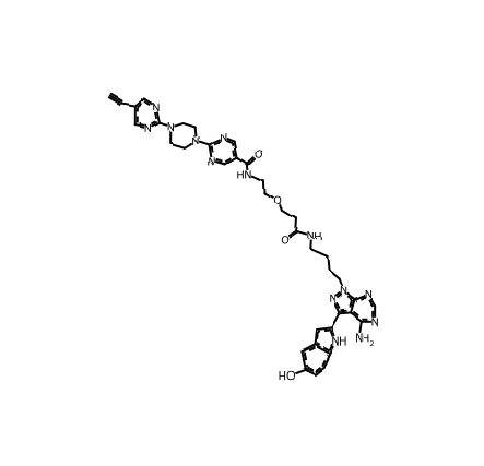 C#Cc1cnc(N2CCN(c3ncc(C(=O)NCCOCCC(=O)NCCCCn4nc(-c5cc6cc(O)ccc6[nH]5)c5c(N)ncnc54)cn3)CC2)nc1